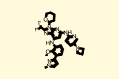 COc1c(Nc2cc(Nc3ccc(N4CCC4)cn3)nc3c2nc(C(F)F)n3C2CCCCO2)cccc1-c1ccn(C)n1